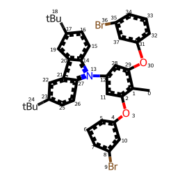 Cc1c(Oc2cccc(Br)c2)cc(-n2c3ccc(C(C)(C)C)cc3c3cc(C(C)(C)C)ccc32)cc1Oc1cccc(Br)c1